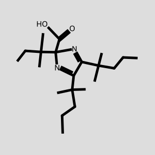 CCCC(C)(C)C1=NC(C(=O)O)(C(C)(C)CC)N=C1C(C)(C)CCC